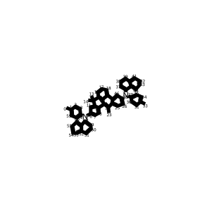 Cc1ccc(N(c2ccc3c(c2)C(C)(C)c2cccc4c2c-3c(C)c2ccc(N(c3ccc(C)cc3)c3cccc5ccccc35)cc24)c2cccc3ccccc23)cc1